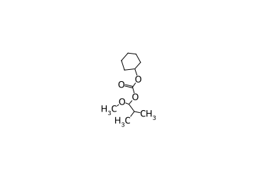 COC(OC(=O)OC1CCCCC1)C(C)C